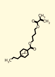 C=C(C)C(=O)OCCCCOC(=O)C12CCC(CCC)(CC1)CC2